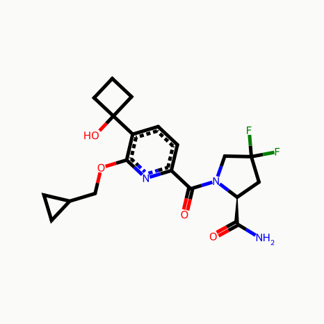 NC(=O)[C@@H]1CC(F)(F)CN1C(=O)c1ccc(C2(O)CCC2)c(OCC2CC2)n1